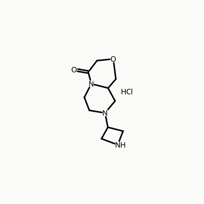 Cl.O=C1COCC2CN(C3CNC3)CCN12